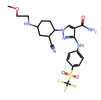 COCCNC1CCC(n2cc(C(N)=O)c(Nc3ccc(S(=O)(=O)C(F)(F)F)cc3)n2)C(C#N)C1